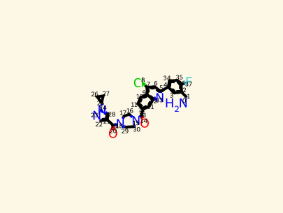 NCc1cc(-c2cc(Cl)c3ccc(C(=O)N4CCN(C(=O)c5cnn(C6CC6)c5)CC4)cc3n2)ccc1F